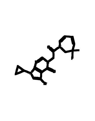 CC1(F)C=CC=CN(C(=O)Cn2cnc3c(c(Br)cn3C3CC3)c2=O)C1